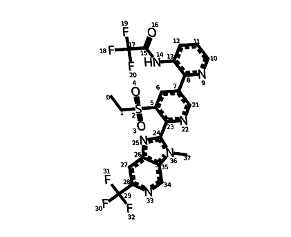 CCS(=O)(=O)c1cc(-c2ncccc2NC(=O)C(F)(F)F)cnc1-c1nc2cc(C(F)(F)F)ncc2n1C